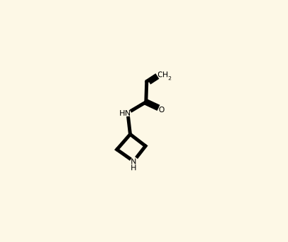 C=CC(=O)NC1CNC1